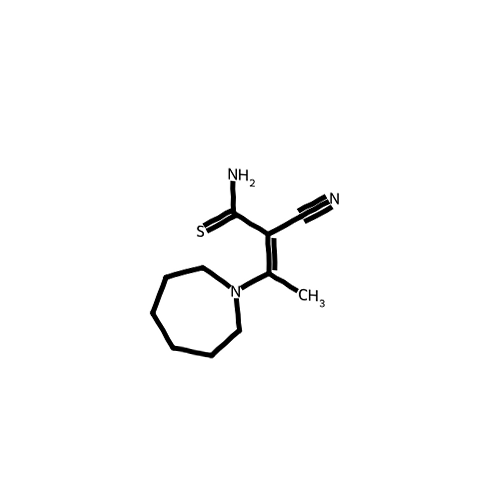 CC(=C(C#N)C(N)=S)N1CCCCCC1